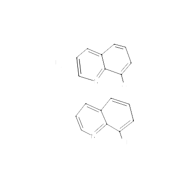 O.Oc1cccc2cccnc12.Oc1cccc2cccnc12